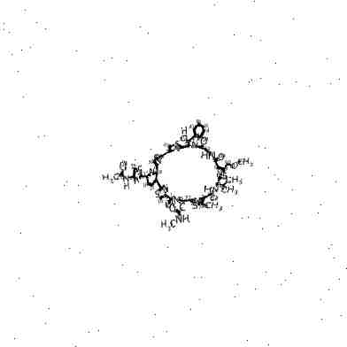 CNC(=O)C[C@@H]1NC(=O)c2csc(n2)-c2ccc(-c3nc(NC(C)=O)cs3)nc2-c2csc(n2)-c2csc(n2)[C@H]([C@@H](O)c2ccccc2)NC(=O)CNC(=O)c2nc(sc2COC)[C@@H](C(C)C)NC(=O)c2nc1sc2C